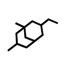 CCC1CC2CC(C)CC(C)(C1)C2